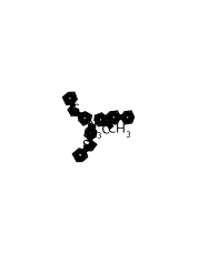 CC1(C)c2cc(-c3ccccc3)ccc2-c2ccc(N(c3ccc(-c4ccc(-c5ccccc5)s4)cc3)c3ccc(-c4ccc(-c5ccccc5)s4)cc3)cc21